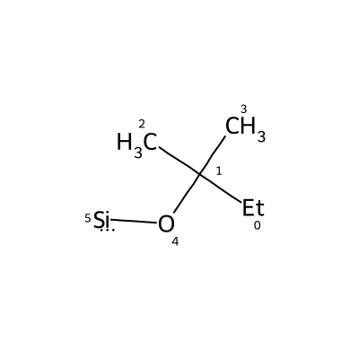 CCC(C)(C)O[Si]